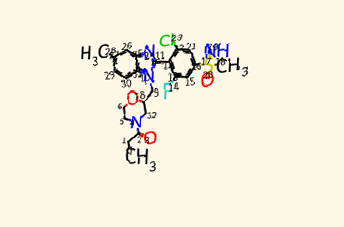 CCC(=O)N1CCO[C@@H](Cn2c(-c3c(F)cc(S(C)(=N)=O)cc3Cl)nc3cc(C)ccc32)C1